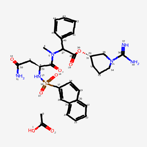 CC(=O)O.CN(C(=O)[C@H](CC(N)=O)NS(=O)(=O)c1ccc2ccccc2c1)C(C(=O)O[C@H]1CCCN(C(=N)N)C1)c1ccccc1